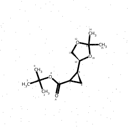 CC(C)(C)OC(=O)C1C[C@@H]1[C@H]1COC(C)(C)O1